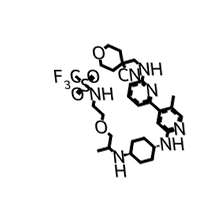 Cc1cnc(N[C@H]2CC[C@H](NC(C)COCCNS(=O)(=O)C(F)(F)F)CC2)cc1-c1cccc(NCC2(C#N)CCOCC2)n1